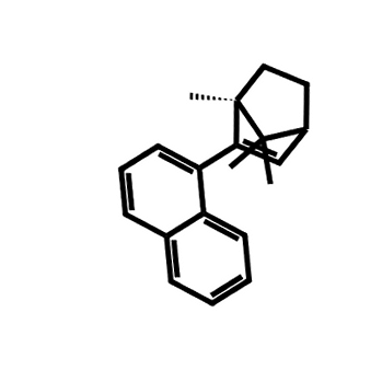 CC1(C)C2C=C(c3cccc4ccccc34)[C@@]1(C)CC2